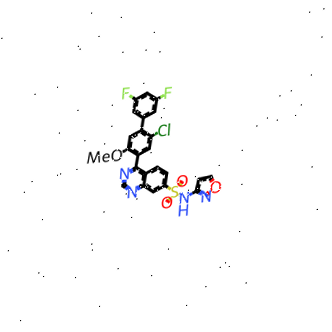 COc1cc(-c2cc(F)cc(F)c2)c(Cl)cc1-c1ncnc2cc(S(=O)(=O)Nc3ccon3)ccc12